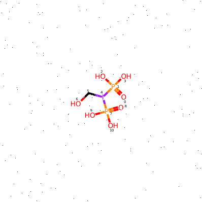 O=P(O)(O)I(CO)P(=O)(O)O